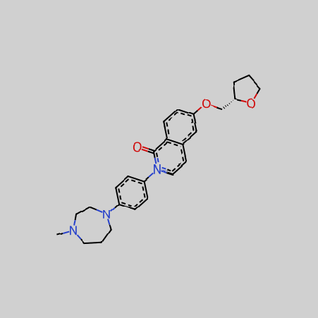 CN1CCCN(c2ccc(-n3ccc4cc(OC[C@@H]5CCCO5)ccc4c3=O)cc2)CC1